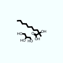 CCCCCCCCC(C)(O)C(=O)O.OCC(O)CO